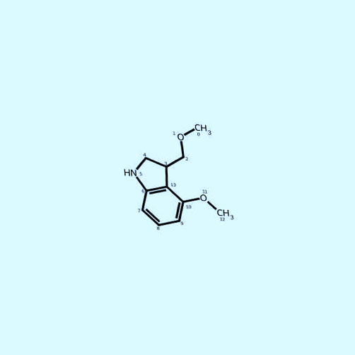 COCC1CNc2cccc(OC)c21